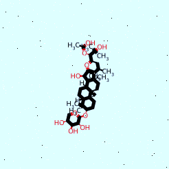 C[C@@H]1C[C@H]([C@H](O[C@@H](C)O)C(C)(C)O)OC2=C1[C@@]1(C)CC[C@@]34C[C@@]35CC[C@H](O[C@@H]3OC[C@@H](O)[C@H](O)[C@H]3O)C(C)(C)[C@@H]5CC[C@H]4[C@]1(C)[C@H]2O